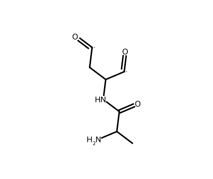 CC(N)C(=O)NC([C]=O)C[C]=O